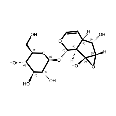 OC[C@H]1O[C@@H](O[C@@H]2OC=C[C@H]3[C@H](O)[C@@H]4O[C@]4(O)[C@@H]23)[C@H](O)[C@@H](O)[C@@H]1O